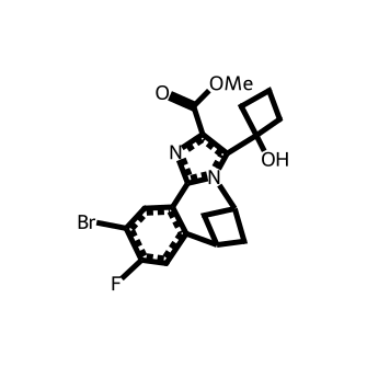 COC(=O)c1nc2n(c1C1(O)CCC1)C1CC(C1)c1cc(F)c(Br)cc1-2